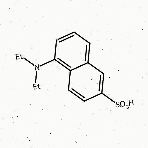 CCN(CC)c1cccc2cc(S(=O)(=O)O)ccc12